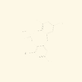 CCOP1(=O)Oc2c(cc(C(C)C)cc2C(C)C)Cc2cc(C(C)C)cc(C(C)C)c2O1